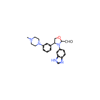 CN1CCN(c2cccc(C3COC(C=O)N3c3ccc4nc[nH]c4c3)c2)CC1